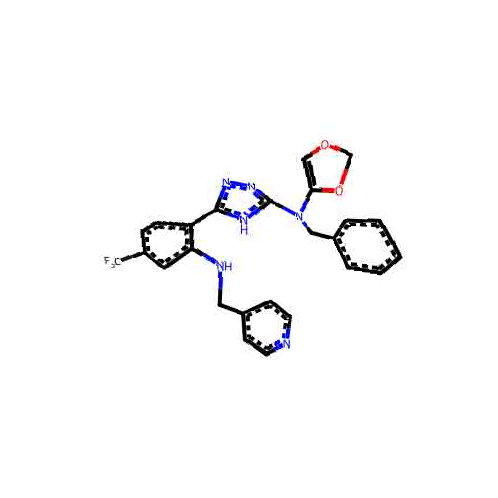 FC(F)(F)c1ccc(-c2nnc(N(Cc3ccccc3)C3=COCO3)[nH]2)c(NCc2ccncc2)c1